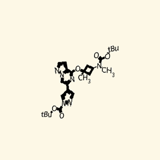 CN(C(=O)OC(C)(C)C)[C@H]1C[C@@](C)(Oc2nc(-c3cnn(C(=O)OC(C)(C)C)c3)cn3nccc23)C1